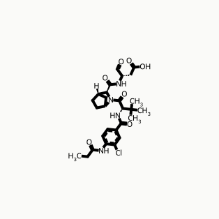 CCC(=O)Nc1ccc(C(=O)N[C@H](C(=O)N2C3CC[C@@H](C3)[C@H]2C(=O)N[C@H](C=O)CC(=O)O)C(C)(C)C)cc1Cl